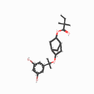 CCC(C)(C)C(=O)OC1CC2CC1CC2OC(C)(C)c1cc(Br)cc(Br)c1